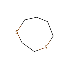 C1CCSCCSC1